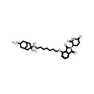 CC1CC2CC(C1)CC(C)(NCCCCCCCOc1cccc3c1C(=O)N(C1CCC(=O)NC1=O)C3=O)C2